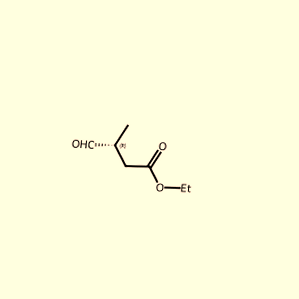 CCOC(=O)C[C@@H](C)C=O